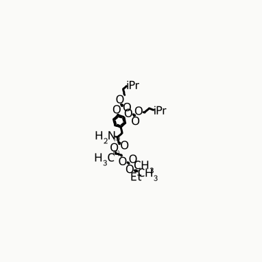 CCC(C)(C)OC(=O)OC[C@H](C)OC(=O)[C@@H](N)Cc1ccc(OC(=O)OCCC(C)C)c(OC(=O)OCCC(C)C)c1